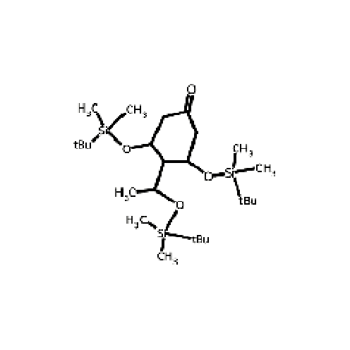 CC(O[Si](C)(C)C(C)(C)C)C1C(O[Si](C)(C)C(C)(C)C)CC(=O)CC1O[Si](C)(C)C(C)(C)C